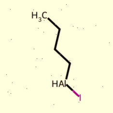 CCC[CH2][AlH][I]